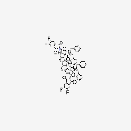 O=C1C(=CC2=Cc3sc4c(sc5c6c(sc54)C=C(/C=C4/C(=O)c5cc(F)c(F)cc5C4O)C6(C(=O)OCc4ccccc4)C(=O)OCc4ccccc4)c3C2(C(=O)OCc2ccccc2)C(=O)OCc2ccccc2)C(=O)c2cc(F)c(F)cc21